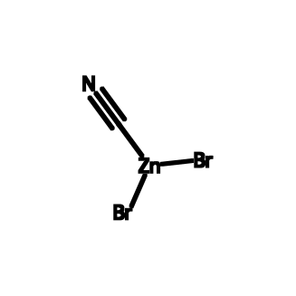 N#[C][Zn]([Br])[Br]